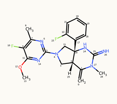 C=C1[C@@H]2CN(c3nc(C)c(F)c(OC)n3)C[C@]2(c2ccccc2F)NC(=N)N1C